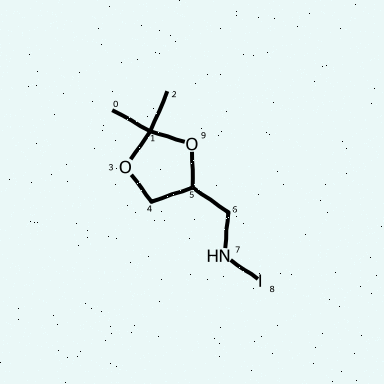 CC1(C)OCC(CNI)O1